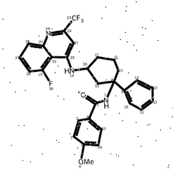 COc1ccc(C(=O)NC2(c3ccccc3)CCCC(Nc3cc(C(F)(F)F)nc4cccc(F)c34)C2)cc1